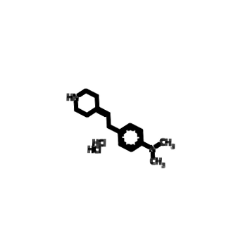 CN(C)c1ccc(CC=C2CCNCC2)cc1.Cl.Cl